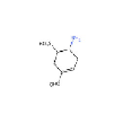 NC1CC=C(C=O)CC1S(=O)(=O)O